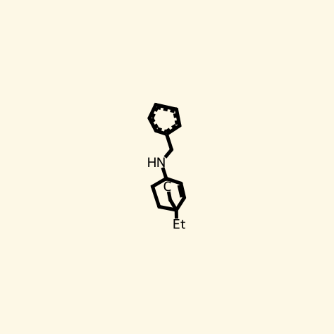 CCC12C=CC(NCc3ccccc3)(CC1)CC2